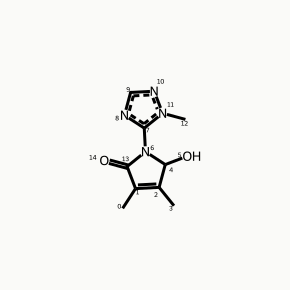 CC1=C(C)C(O)N(c2ncnn2C)C1=O